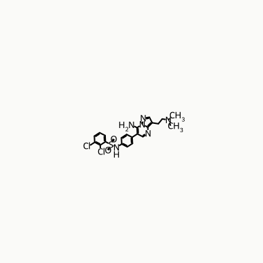 CN(C)CCc1cnn2c(N)c(-c3ccc(NS(=O)(=O)c4cccc(Cl)c4Cl)cc3)cnc12